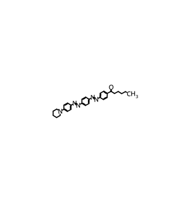 CCCCCC(=O)c1ccc(N=Nc2ccc(N=Nc3ccc(N4CCCCC4)cc3)cc2)cc1